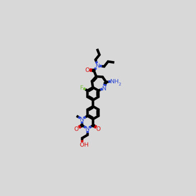 CCCN(CCC)C(=O)C1=Cc2c(F)cc(-c3ccc4c(=O)n(CCO)c(=O)n(C)c4c3)cc2N=C(N)C1